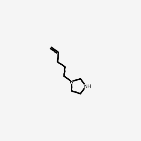 C=CCCCN1CCNC1